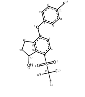 O=S(=O)(c1ccc(Oc2ccc(F)cc2)c2c1C(O)CC2)C(F)(F)F